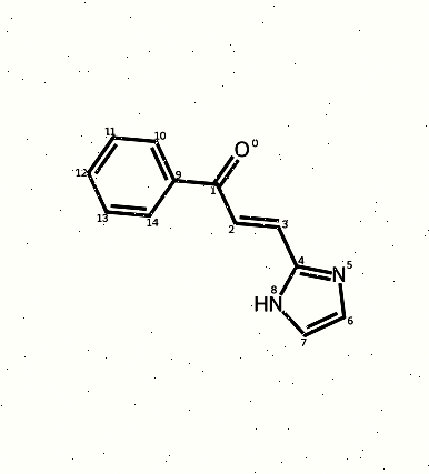 O=C(/C=C/c1ncc[nH]1)c1ccccc1